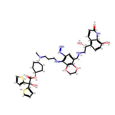 CN(CCCNc1c(N=N)cc(CNC[C@H](O)c2ccc(O)c3[nH]c(=O)ccc23)c2c1OCCO2)[C@H]1CC[C@H](OC(=O)C(O)(c2cccs2)c2cccs2)CC1